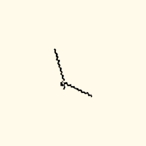 CCCCCCCCCCCCCCCCCCN1C=CN(CC)C1CCCCCCCCCCCCCCCC